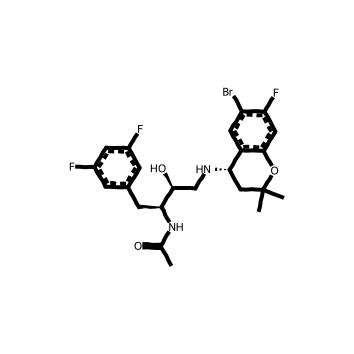 CC(=O)N[C@@H](Cc1cc(F)cc(F)c1)[C@@H](O)CN[C@H]1CC(C)(C)Oc2cc(F)c(Br)cc21